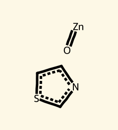 [O]=[Zn].c1cscn1